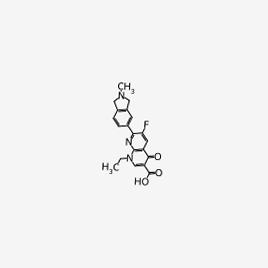 CCn1cc(C(=O)O)c(=O)c2cc(F)c(-c3ccc4c(c3)CN(C)C4)nc21